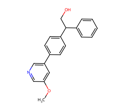 COc1cncc(-c2ccc(C(CO)c3ccccc3)cc2)c1